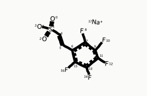 O=S(=O)([O-])C=Cc1c(F)c(F)c(F)c(F)c1F.[Na+]